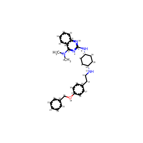 CN(C)c1nc(N[C@H]2CC[C@@H](NCCc3ccc(OCc4ccccc4)cc3)CC2)nc2ccccc12